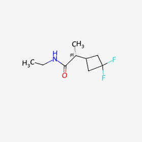 CCNC(=O)[C@H](C)C1CC(F)(F)C1